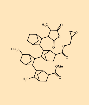 COC(=O)C1CC2CC1C(C1C3CC(C(=O)O)C(C3)C1C1C3CC(C(=O)OCC4CO4)C(C3)C1C1C3CCC(C3)C1C1C(=O)OC(=O)C1C)C2C